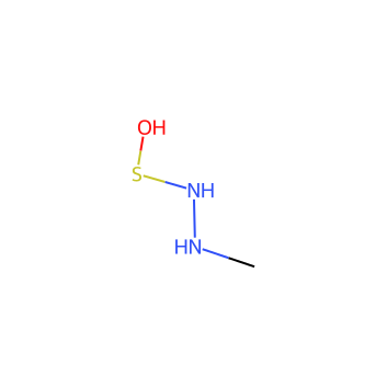 CNNSO